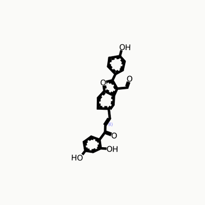 O=Cc1c(-c2ccc(O)cc2)oc2ccc(/C=C/C(=O)c3ccc(O)cc3O)cc12